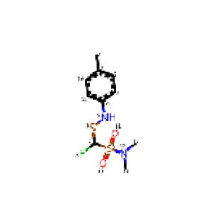 Cc1ccc(NSC(F)S(=O)(=O)N(C)C)cc1